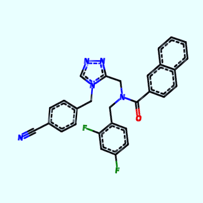 N#Cc1ccc(Cn2cnnc2CN(Cc2ccc(F)cc2F)C(=O)c2ccc3ccccc3c2)cc1